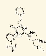 NCC(CN)C[C@H](N)C(=O)N[C@@H](CCc1ccccc1)C(=O)Nc1cccc(C(F)(F)F)c1